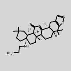 CC1(C)CC[C@]2(NCCC(=O)O)CC[C@]3(C)[C@H](C(=O)C=C4[C@@]5(C)Cc6cnoc6C(C)(C)[C@@H]5CC[C@]43C)[C@@H]2C1